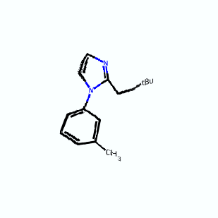 Cc1cccc(-n2ccnc2CC(C)(C)C)c1